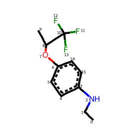 CCNc1ccc(OC(C)C(F)(F)F)cc1